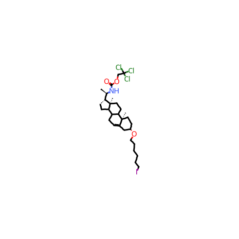 C[C@@H](NC(=O)OCC(Cl)(Cl)Cl)[C@H]1CCC2C3CC=C4C[C@@H](OCCCCCCI)CC[C@]4(C)C3CC[C@@]21C